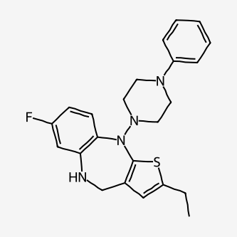 CCc1cc2c(s1)N(N1CCN(c3ccccc3)CC1)c1ccc(F)cc1NC2